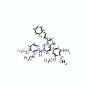 COc1cccc(N)c1OC.COc1cccc(Nc2ccc3ncc(-c4cc5ccccc5s4)n3n2)c1OC